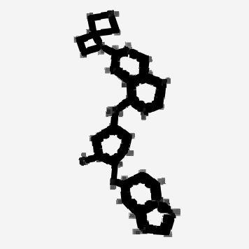 Clc1cc(Nc2ncnc3cnc(N4CCC45COC5)nc23)ccc1Oc1ccn2ncnc2c1